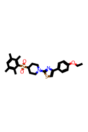 CCOc1ccc(-c2csc(N3CCC(S(=O)(=O)c4c(C)c(C)cc(C)c4C)CC3)n2)cc1